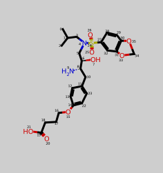 CC(C)CN(C[C@@H](O)[C@@H](N)Cc1ccc(OCCCC(=O)O)cc1)S(=O)(=O)c1ccc2c(c1)OCO2